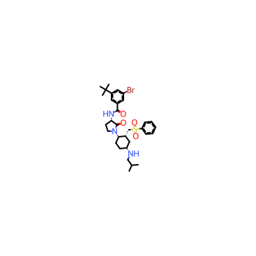 CC(C)CN[C@@H]1CC[C@H](N2CC[C@H](NC(=O)c3cc(Br)cc(C(C)(C)C)c3)C2=O)[C@H](CS(=O)(=O)c2ccccc2)C1